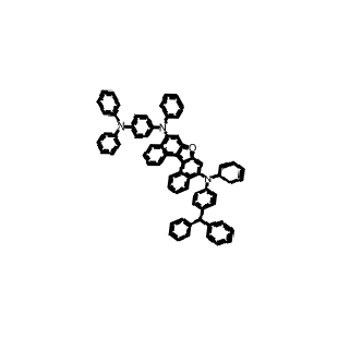 C1=CCC(N(c2ccc(C(c3ccccc3)c3ccccc3)cc2)c2cc3oc4cc(N(c5ccccc5)c5ccc(N(c6ccccc6)c6ccccc6)cc5)c5ccccc5c4c3c3ccccc23)C=C1